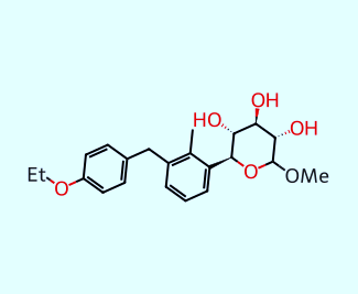 CCOc1ccc(Cc2cccc([C@@H]3OC(OC)[C@@H](O)[C@H](O)[C@H]3O)c2C)cc1